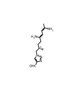 C/C(N)=C/C=C(\N)CC[C@@H](F)Cn1cc(C=O)nn1